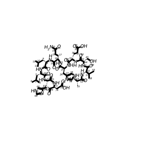 CC(C)C[C@H](NC(=O)[C@H](CC(C)C)NC(=O)[C@H](CCC(N)=O)NC(=O)[C@H](Cc1c[nH]cn1)NC(=O)[C@H](CCC(=O)O)NC(=O)[C@H](CO)NC(=O)[C@@H](NC(=O)[C@H](C)N)C(C)C)C(=O)N[C@@H](Cc1c[nH]cn1)C(=O)N[C@@H](CC(=O)O)C(=O)O